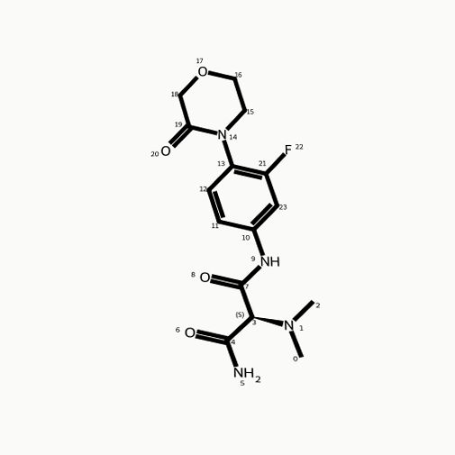 CN(C)[C@@H](C(N)=O)C(=O)Nc1ccc(N2CCOCC2=O)c(F)c1